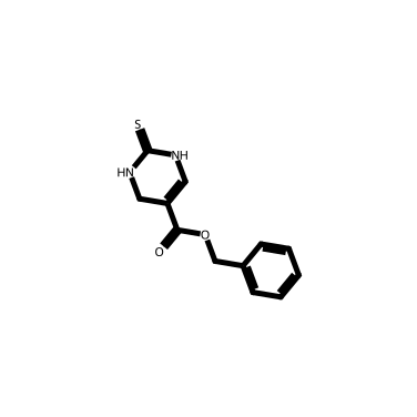 O=C(OCc1ccccc1)C1=CNC(=S)NC1